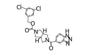 O=C(OCc1cc(Cl)cc(Cl)c1)N1C[C@H]2CN(C(=O)c3ccc4[nH]nnc4c3)C[C@@H]2C1